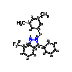 Cc1cc(C)cc(Cn2nc3c(C(F)(F)F)cccc3c2-c2ccccc2)c1